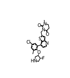 Cc1cc(Cl)cc(-c2ccnc3cc(CN4C(=O)CCN(C)C4=O)sc23)c1O[C@@H]1CNC[C@@H]1F